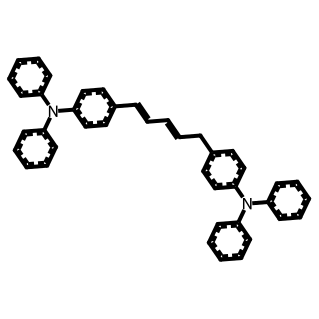 C(C=Cc1ccc(N(c2ccccc2)c2ccccc2)cc1)=CCc1ccc(N(c2ccccc2)c2ccccc2)cc1